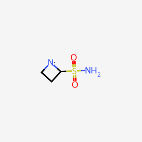 NS(=O)(=O)C1CC[N]1